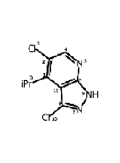 CC(C)c1c(Cl)cnc2[nH]nc(Cl)c12